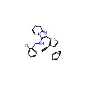 C#Cc1ccsc1-c1nc2ccccn2c1NCc1ccccc1Cl.c1cc2cc-2c1